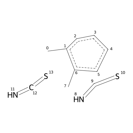 Cc1ccccc1C.N=C=S.N=C=S